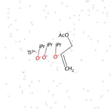 C=CCOC(C)=O.CC(C)[O-].CC(C)[O-].CC(C)[O-].[Ti+3]